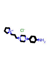 C[N+]1(CCCN2CCN(c3ccc(N)cc3)CC2)CCCC1.[Cl-]